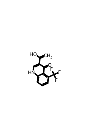 C=C(O)c1c[nH]c2cccc(C(F)(F)F)c2c1=O